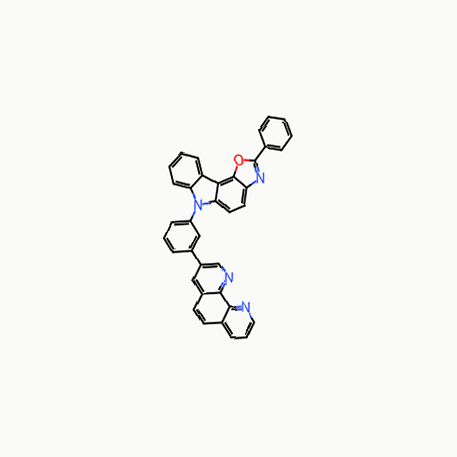 c1ccc(-c2nc3ccc4c(c5ccccc5n4-c4cccc(-c5cnc6c(ccc7cccnc76)c5)c4)c3o2)cc1